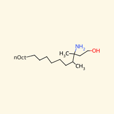 CCCCCCCCCCCCCCC(C)C(C)(N)CCO